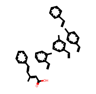 C=Cc1ccc(C)cc1.C=Cc1cccc(C)c1.C=Cc1ccccc1.C=Cc1ccccc1C.CC(C=Cc1ccccc1)=CC(=O)O